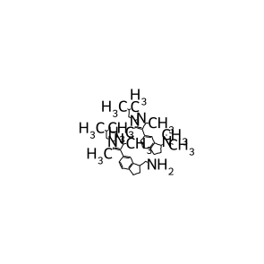 Cc1nn(CC(C)C)c(C)c1-c1ccc2c(c1)C(CN)CC2.Cc1nn(CC(C)C)c(C)c1-c1ccc2c(c1)C(N(C)C)CC2